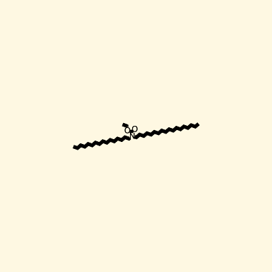 CCCCCCCCCCCCCCCCCCN(CCCCCCCCCCCCCCCC)C(=O)OCC